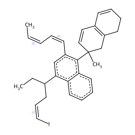 C/C=C\C=C/c1cc(C(CC)C/C=C\I)c2ccccc2c1C1(C)C=CC2=C(CCC=C2)C1